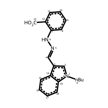 CCCCn1cc(C=NNc2ccccc2C(=O)O)c2ccccc21